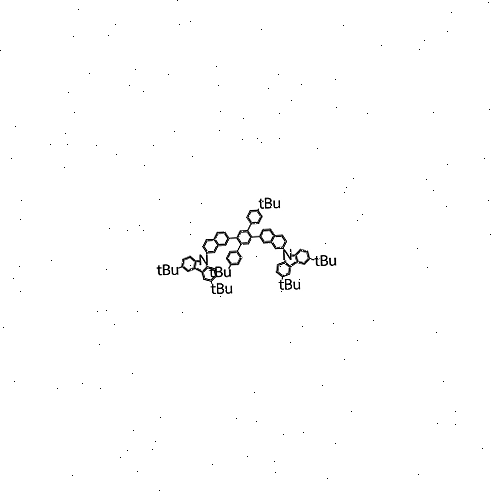 CC(C)(C)c1ccc(-c2cc(-c3ccc4ccc(-n5c6ccc(C(C)(C)C)cc6c6cc(C(C)(C)C)ccc65)cc4c3)c(-c3ccc(C(C)(C)C)cc3)cc2-c2ccc3ccc(-n4c5ccc(C(C)(C)C)cc5c5cc(C(C)(C)C)ccc54)cc3c2)cc1